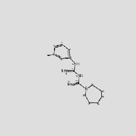 Cc1cccc(NC(=N)NC(=N)N2CCCCCC2)c1